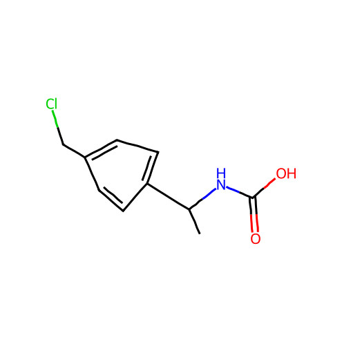 CC(NC(=O)O)c1ccc(CCl)cc1